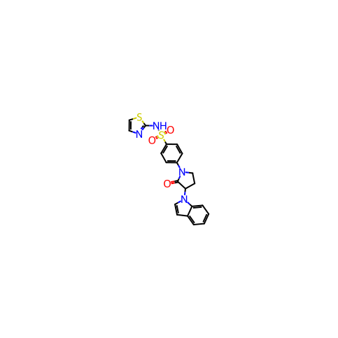 O=C1C(n2ccc3ccccc32)CCN1c1ccc(S(=O)(=O)Nc2nccs2)cc1